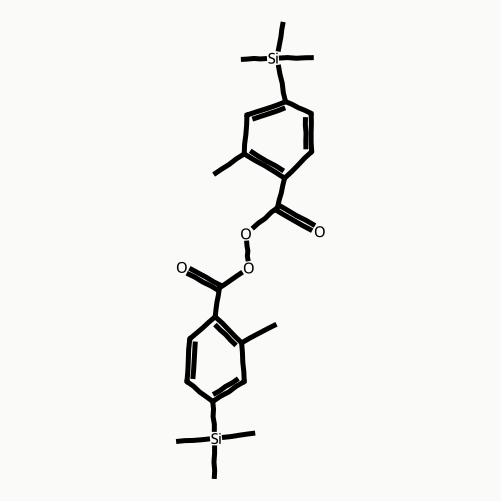 Cc1cc([Si](C)(C)C)ccc1C(=O)OOC(=O)c1ccc([Si](C)(C)C)cc1C